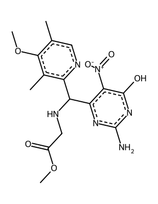 COC(=O)CNC(c1ncc(C)c(OC)c1C)c1nc(N)nc(O)c1[N+](=O)[O-]